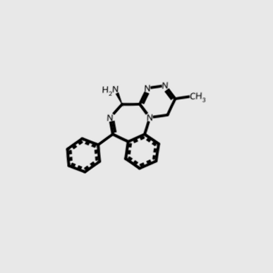 CC1=NN=C2[C@H](N)N=C(c3ccccc3)c3ccccc3N2C1